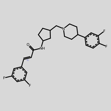 O=C(/C=C/c1cc(F)cc(F)c1)NC1CCC(CN2CCC(c3ccc(F)c(F)c3)CC2)C1